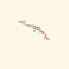 C=CC(=O)OCOc1ccc(C(=O)Oc2ccc3c(c2)C(CC)c2cc(OC(=O)c4ccc(OCOC(=O)C=C)cc4)ccc2-3)cc1